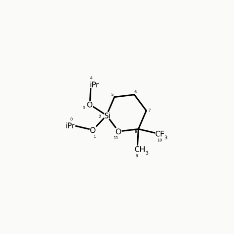 CC(C)O[Si]1(OC(C)C)CCCC(C)(C(F)(F)F)O1